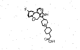 O=C(O)CC1CCC(N2CC=C(c3[nH]c4nccc5c4c3COc3ccc(F)cc3-5)CC2)CC1